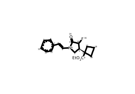 CCOC(=O)C1([C@H]2CN(C=Cc3ccccc3)C(=O)C2F)CCC1